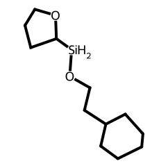 C1CCC(CCO[SiH2]C2CCCO2)CC1